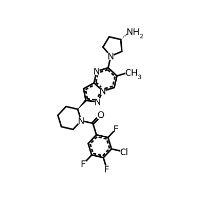 Cc1cn2nc([C@@H]3CCCCN3C(=O)c3cc(F)c(F)c(Cl)c3F)cc2nc1N1CC[C@H](N)C1